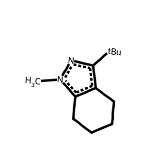 Cn1nc(C(C)(C)C)c2c1CCCC2